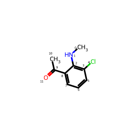 CNc1c(Cl)cccc1C(C)=O